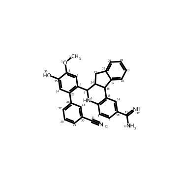 COc1cc(C2Nc3ccc(C(=N)N)cc3C3c4ccccc4CC23)c(-c2cccc(C#N)c2)cc1O